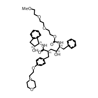 COCCOCCOCCOC(=O)N[C@@H](Cc1ccccc1)[C@@H](O)C[C@@H](Cc1ccc(OCCN2CCOCC2)cc1)C(=O)N[C@H]1c2ccccc2C[C@H]1O